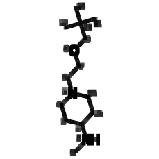 CNC1CCN(CCOCC(C)(C)C)CC1